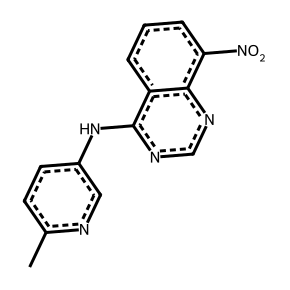 Cc1ccc(Nc2ncnc3c([N+](=O)[O-])cccc23)cn1